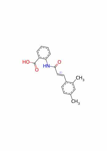 Cc1ccc(/C=C/C(=O)Nc2ccccc2C(=O)O)c(C)c1